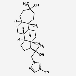 CC(O)(Cn1cc(C#N)cn1)[C@H]1CC[C@H]2[C@@H]3CC[C@H]4CC[C@](C)(O)CC[C@]4(C)[C@H]3CC[C@]12C